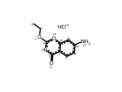 CCOc1nc(=O)c2ccc(N)cc2o1.Cl